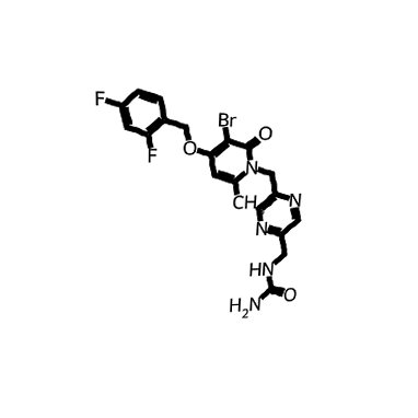 Cc1cc(OCc2ccc(F)cc2F)c(Br)c(=O)n1Cc1cnc(CNC(N)=O)cn1